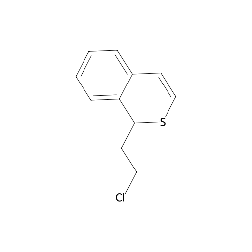 ClCCC1SC=Cc2ccccc21